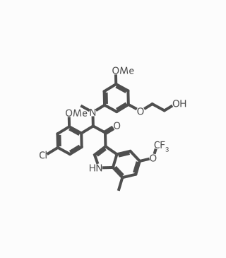 COc1cc(OCCO)cc(N(C)C(C(=O)c2c[nH]c3c(C)cc(OC(F)(F)F)cc23)c2ccc(Cl)cc2OC)c1